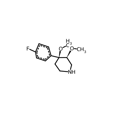 CO[C@H]1CNCC[C@]1(OC)c1ccc(F)cc1